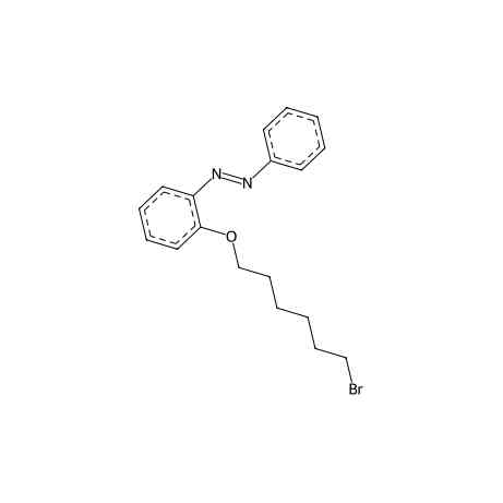 BrCCCCCCOc1ccccc1N=Nc1ccccc1